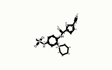 CS(=O)(=O)Nc1ccc(NC(=O)c2ccc(C#N)o2)c(N2CCCCC2)c1